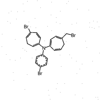 BrCC1=CC=C(N(C2=CCC=C(Br)C=C2)c2ccc(Br)cc2)C=CC1